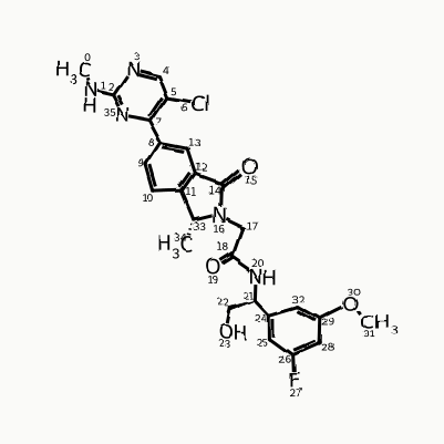 CNc1ncc(Cl)c(-c2ccc3c(c2)C(=O)N(CC(=O)N[C@H](CO)c2cc(F)cc(OC)c2)[C@@H]3C)n1